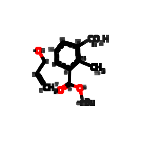 C=CC[O].CCCCOC(=O)c1cccc(C(=O)O)c1C